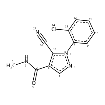 CNC(=O)c1cnn(-c2ccccc2Cl)c1C#N